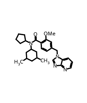 COc1cc(Cn2cnc3ncccc32)ccc1C(=O)N(C1CCCC1)C1CC(C)CC(C)C1